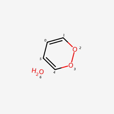 C1=COOC=C1.O